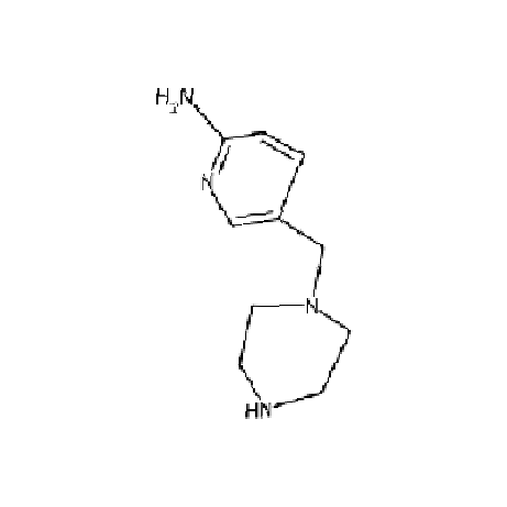 Nc1ccc(CN2CCNCC2)cn1